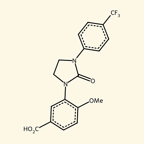 COc1ccc(C(=O)O)cc1N1CCN(c2ccc(C(F)(F)F)cc2)C1=O